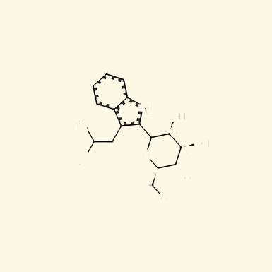 NC(Cc1c(C2O[C@H](CO)[C@@H](O)[C@H](O)[C@@H]2O)[nH]c2ccccc12)C(=O)O